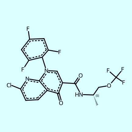 C[C@@H](COC(F)(F)F)NC(=O)c1cn(-c2c(F)cc(F)cc2F)c2nc(Cl)ccc2c1=O